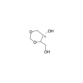 OCC1OCOC[C@@H]1O